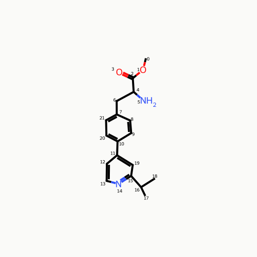 COC(=O)C(N)Cc1ccc(-c2ccnc(C(C)C)c2)cc1